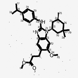 COC(=O)CCc1cc2nc(Nc3ccc(C(C)C)cc3)n([C@H]3C[C@@H](C)CC(C)(C)C3)c2cc1OC